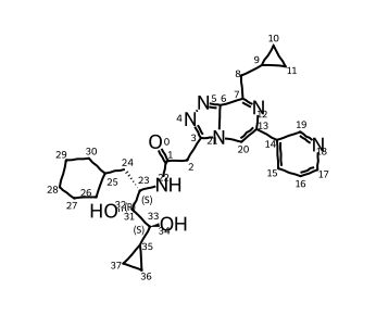 O=C(Cc1nnc2c(CC3CC3)nc(-c3cccnc3)cn12)N[C@@H](CC1CCCCC1)[C@@H](O)[C@@H](O)C1CC1